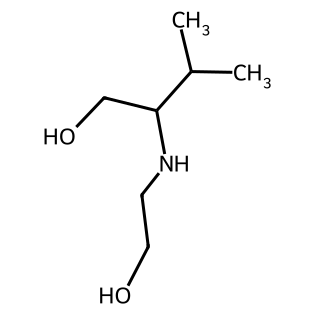 CC(C)C(CO)NCCO